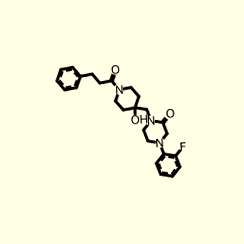 O=C(CCc1ccccc1)N1CCC(O)(CN2CCN(c3ccccc3F)CC2=O)CC1